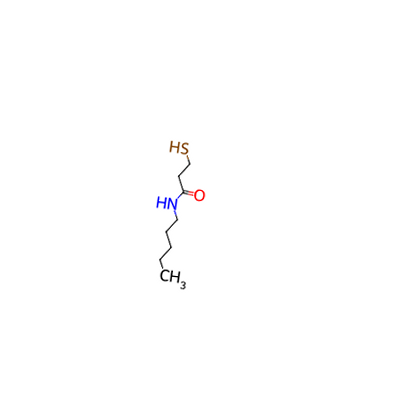 CCCCCNC(=O)CCS